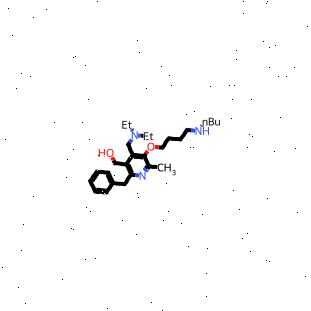 CCCCNCCCCOc1c(C)nc(Cc2ccccc2)c(CO)c1CN(CC)CC